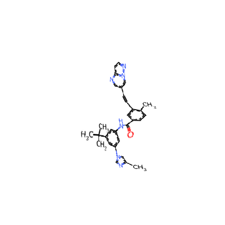 Cc1cn(-c2cc(NC(=O)c3ccc(C)c(C#Cc4cnc5ccnn5c4)c3)cc(C(C)(C)C)c2)cn1